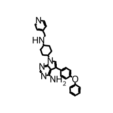 Nc1ncnc2c1c(-c1ccc(Oc3ccccc3)cc1)cn2C1CCC(NCc2ccncc2)CC1